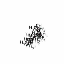 Cc1cc(C)c(Oc2c(F)c(F)c(Oc3c(C)cc(Oc4c(C)cc(C(C)(C)c5cc(C)c(Oc6cc(C)c(Oc7c(F)c(F)c(Oc8c(C)cc(C)cc8C)c(F)c7F)c(C)c6)c(C)c5)cc4C)cc3C)c(F)c2F)c(C)c1